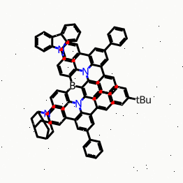 CC(C)(C)c1ccc(-c2cc3c4c(c2)N(c2c(-c5ccccc5)cc(-c5ccccc5)cc2-c2ccccc2)c2cc(-n5c6ccccc6c6ccccc65)ccc2B4c2ccc(N4C5CC6CC(C5)CC4C6)cc2N3c2c(-c3ccccc3)cc(-c3ccccc3)cc2-c2ccccc2)cc1